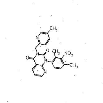 Cc1ccc(Cn2c(=O)c3cccnc3n(-c3ccc(C)c([N+](=O)[O-])c3C)c2=O)nc1